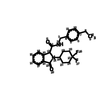 O=C(NCc1ccc(CC(F)(F)F)cc1)C1c2ccccc2C(=O)N1C1CCC(F)(F)CC1